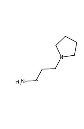 N[CH]CCN1CCCC1